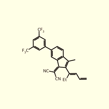 C=C/C=C(\CC)C1=C(C)c2ccc(-c3cc(C(F)(F)F)cc(C(F)(F)F)c3)cc2C1=C(C#N)C#N